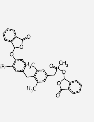 Cc1cc(CP(C)(=O)OC2OC(=O)c3ccccc32)cc(C)c1Cc1ccc(OC2OC(=O)c3ccccc32)c(C(C)C)c1